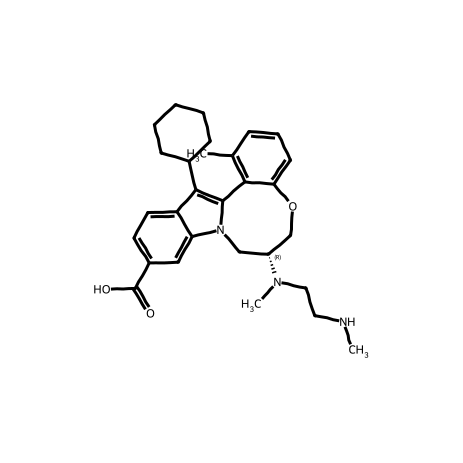 CNCCN(C)[C@H]1COc2cccc(C)c2-c2c(C3CCCCC3)c3ccc(C(=O)O)cc3n2C1